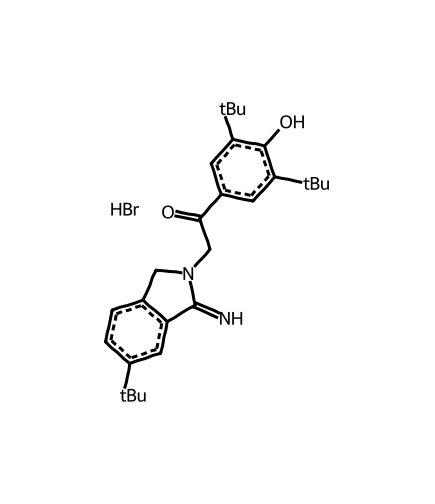 Br.CC(C)(C)c1ccc2c(c1)C(=N)N(CC(=O)c1cc(C(C)(C)C)c(O)c(C(C)(C)C)c1)C2